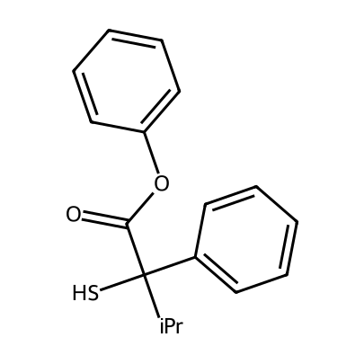 CC(C)C(S)(C(=O)Oc1ccccc1)c1ccccc1